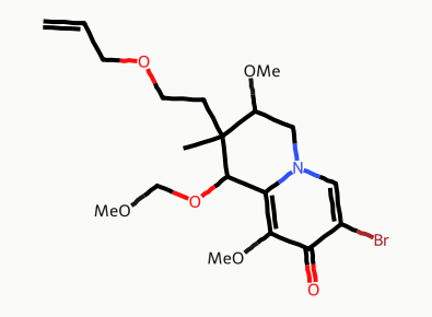 C=CCOCCC1(C)C(OC)Cn2cc(Br)c(=O)c(OC)c2C1OCOC